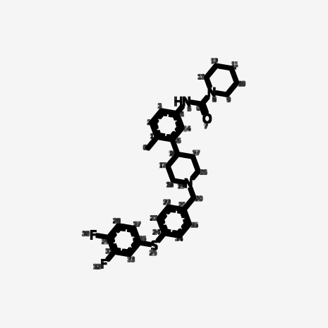 Cc1ccc(NC(=O)N2CC[CH]CC2)cc1C1CCN(Cc2ccc(Sc3ccc(F)c(F)c3)cc2)CC1